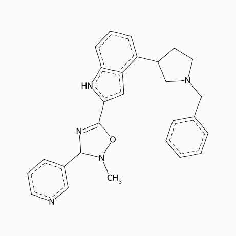 CN1OC(c2cc3c(C4CCN(Cc5ccccc5)C4)cccc3[nH]2)=NC1c1cccnc1